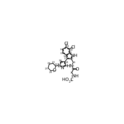 O=C(O)NCC(=O)NCc1[nH]c2c(Cl)c(Cl)ccc2c1-c1cnn(C2CCCCO2)c1